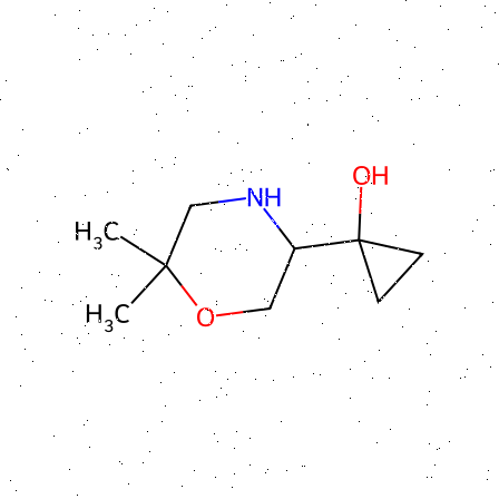 CC1(C)CNC(C2(O)CC2)CO1